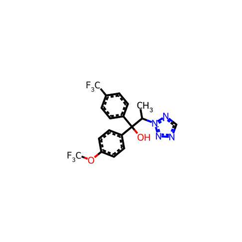 CC(n1ncnn1)C(O)(c1ccc(OC(F)(F)F)cc1)c1ccc(C(F)(F)F)cc1